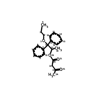 CCCOC(c1ccccc1)(c1ccccc1)C(C)OC(=O)CC(C)=O